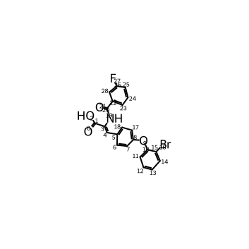 O=C(O)C(=Cc1ccc(Oc2ccccc2Br)cc1)NC(=O)c1cccc(F)c1